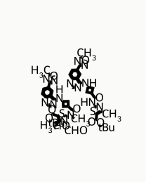 Cc1nc(-c2ccc3ncnc(NC4CC(C(=O)N(C)c5nc(C)c(C(=O)OC(C)(C)C)s5)C4)c3c2)no1.Cc1nc(-c2ccc3ncnc(NC4CC(C(=O)Nc5nc(C)c(C(=O)OC(C)(C)C)s5)C4)c3c2)no1.O=CO